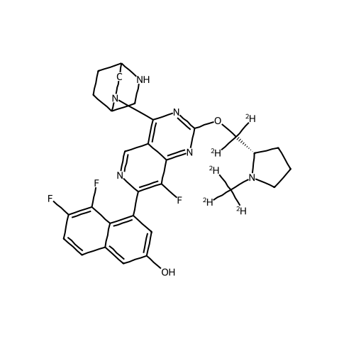 [2H]C([2H])(Oc1nc(N2CC3CCC2CN3)c2cnc(-c3cc(O)cc4ccc(F)c(F)c34)c(F)c2n1)[C@@H]1CCCN1C([2H])([2H])[2H]